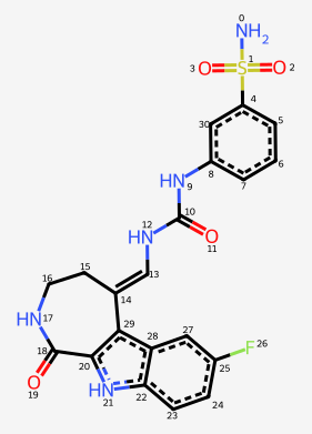 NS(=O)(=O)c1cccc(NC(=O)NC=C2CCNC(=O)c3[nH]c4ccc(F)cc4c32)c1